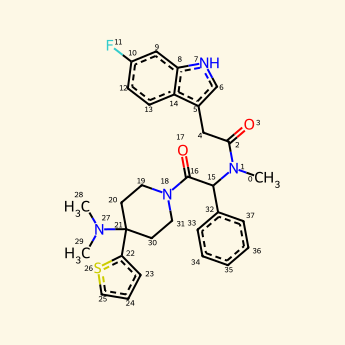 CN(C(=O)Cc1c[nH]c2cc(F)ccc12)C(C(=O)N1CCC(c2cccs2)(N(C)C)CC1)c1ccccc1